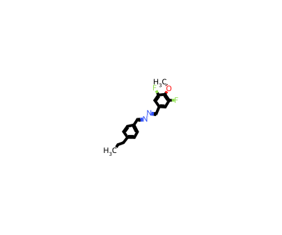 CCCc1ccc(/C=N/N=C/c2cc(F)c(OC)c(F)c2)cc1